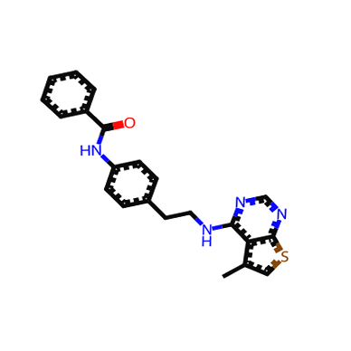 Cc1csc2ncnc(NCCc3ccc(NC(=O)c4ccccc4)cc3)c12